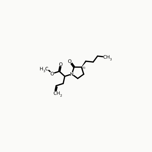 C=CCC(C(=O)OC)N1CC[C@H](CCCC)C1=O